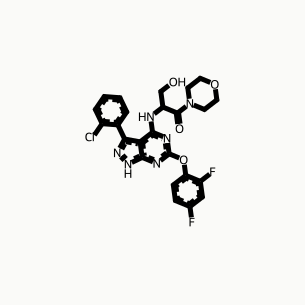 O=C(C(CO)Nc1nc(Oc2ccc(F)cc2F)nc2[nH]nc(-c3ccccc3Cl)c12)N1CCOCC1